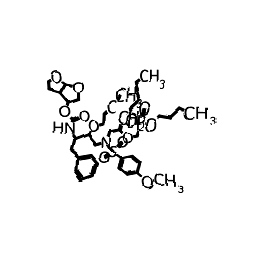 C=C(CN(CC(OCCCC)C(Cc1ccccc1)NC(=O)OC1COC2OCCC12)S(=O)(=O)c1ccc(OC)cc1)OCP(=O)(OCCCC)OCCCC